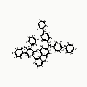 Cc1c(-c2cccc3oc4cc(N(c5ccc(-c6ccccc6)cc5)c5ccc(-c6ccccc6)cc5)ccc4c23)nc2c(sc3ccccc32)c1-c1ccccc1